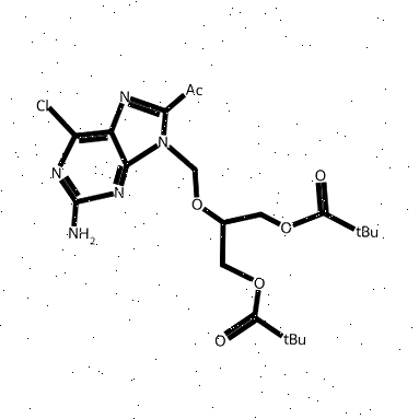 CC(=O)c1nc2c(Cl)nc(N)nc2n1COC(COC(=O)C(C)(C)C)COC(=O)C(C)(C)C